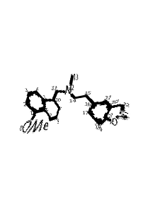 COc1cccc2c1CCCC2CN(C)CCc1ccc2c(c1)CSO2